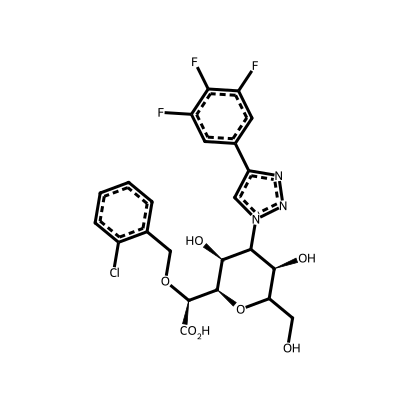 O=C(O)[C@@H](OCc1ccccc1Cl)[C@@H]1OC(CO)[C@H](O)C(n2cc(-c3cc(F)c(F)c(F)c3)nn2)[C@@H]1O